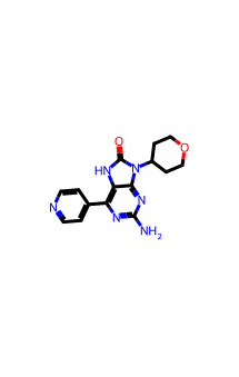 Nc1nc(-c2ccncc2)c2[nH]c(=O)n(C3CCOCC3)c2n1